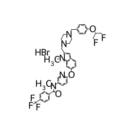 Br.CN(C(=O)c1ccc(C(F)(F)F)cc1)c1ccc(Oc2ccc3cc(CN4CCN(Cc5ccc(OC(CF)CF)cc5)CC4)n(C)c3c2)nc1